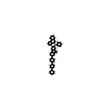 CC1(C)c2cc(-c3ccc(-c4ccc(-c5ccccc5)cc4)cc3)ccc2-c2ccc(N(c3ccccc3)c3cc4ccccc4c4ccccc34)cc21